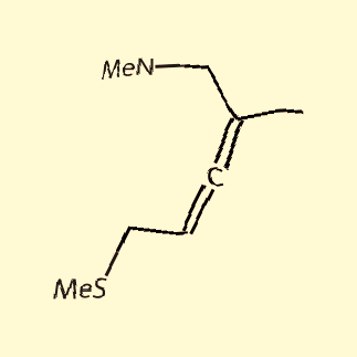 CNCC(C)=C=CCSC